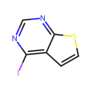 Ic1ncnc2sccc12